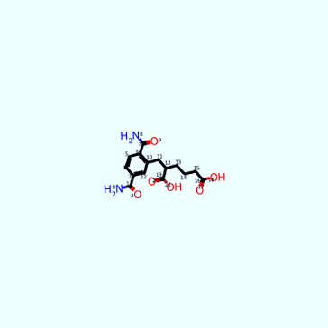 NC(=O)c1ccc(C(N)=O)c(CC(CCCC(=O)O)C(=O)O)c1